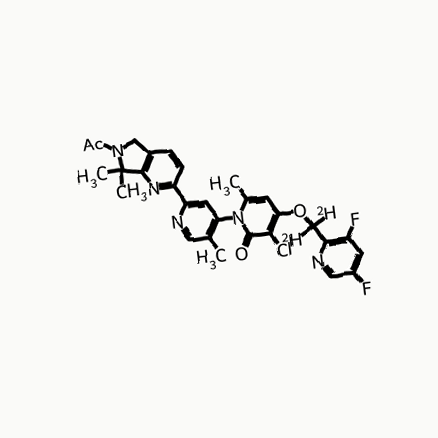 [2H]C([2H])(Oc1cc(C)n(-c2cc(-c3ccc4c(n3)C(C)(C)N(C(C)=O)C4)ncc2C)c(=O)c1Cl)c1ncc(F)cc1F